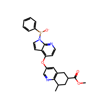 COC(=O)C1Cc2cc(Oc3ccnc4c3ccn4[S+]([O-])c3ccccc3)cnc2C(C)C1